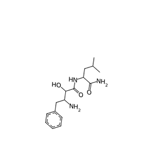 CC(C)CC(NC(=O)C(O)C(N)Cc1ccccc1)C(N)=O